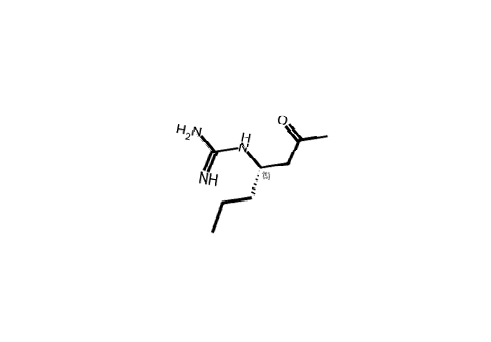 CCC[C@@H](CC(C)=O)NC(=N)N